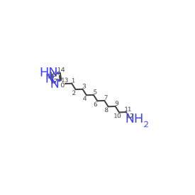 CCCCCCCCCCCCN.c1c[nH]nn1